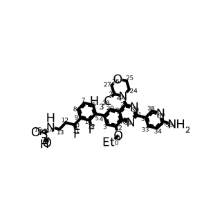 CCOc1cc(-c2cccc(C(F)CCN[SH](=O)=O)c2F)cc2c(N3CCOCC3C)nc(-c3ccc(N)nc3)nc12